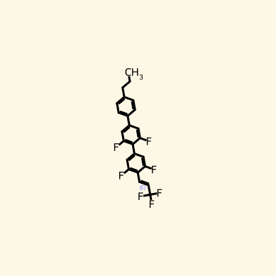 CCCc1ccc(-c2cc(F)c(-c3cc(F)c(/C=C/C(F)(F)F)c(F)c3)c(F)c2)cc1